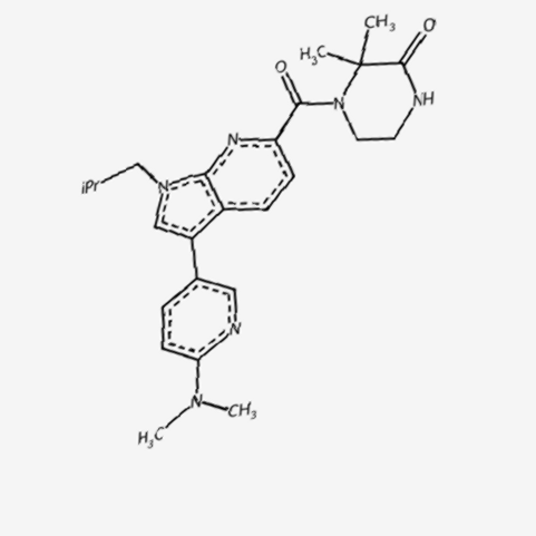 CC(C)Cn1cc(-c2ccc(N(C)C)nc2)c2ccc(C(=O)N3CCNC(=O)C3(C)C)nc21